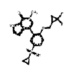 Cn1cc(-c2cc(S(=N)(=O)C3CC3)ccc2OCC2CC2(F)F)c2cc[nH]c2c1=O